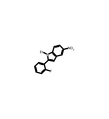 CCn1c(-c2ccccc2F)cc2cc([N+](=O)[O-])ccc21